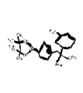 CC1(C)OB(c2ccc([C@@](C)(O)c3cccc(C(F)(F)F)c3)cc2)OC1(C)C